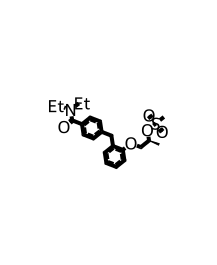 CCN(CC)C(=O)c1ccc(Cc2ccccc2OC[C@H](C)OS(C)(=O)=O)cc1